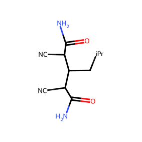 CC(C)CC(C(C#N)C(N)=O)C(C#N)C(N)=O